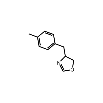 Cc1ccc(CC2COC=N2)cc1